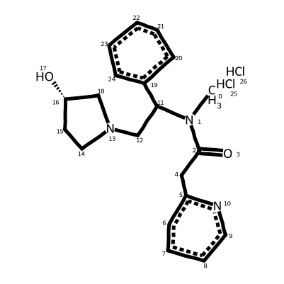 CN(C(=O)Cc1ccccn1)C(CN1CC[C@H](O)C1)c1ccccc1.Cl.Cl